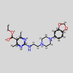 CCOC(=O)c1c(C)nc(NCCN2CCN(c3ccc4c(c3)OCO4)CC2)nc1C